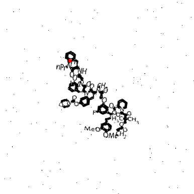 C=CC(=O)OCC(C)(C)C(=O)C(=O)N1CCCC[C@H]1C(=O)O[C@H](CCc1ccc(OC)c(OC)c1)c1cc(F)cc(OCC(=O)N(C)[C@@H](Cc2ccc(OC(=O)N3CCOCC3)cc2)C(=O)N[C@H](Cc2ccccc2)C(=O)N(C)CC(=O)N[C@H](Cc2ccccc2)C(=O)N(C)CCC)c1